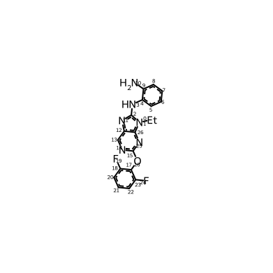 CCn1c(Nc2ccccc2N)nc2cnc(Oc3c(F)cccc3F)nc21